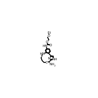 CCOCCOC(=O)Nc1ccc2c(c1)NCCCCC[C@H](N)c1nc-2c[nH]1